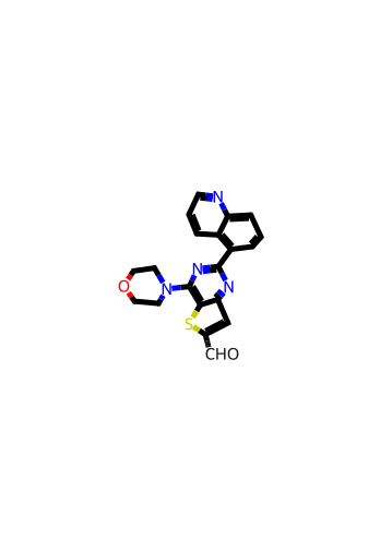 O=Cc1cc2nc(-c3cccc4ncccc34)nc(N3CCOCC3)c2s1